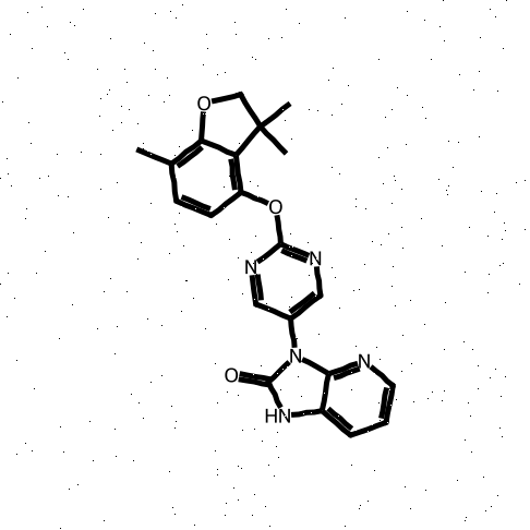 Cc1ccc(Oc2ncc(-n3c(=O)[nH]c4cccnc43)cn2)c2c1OCC2(C)C